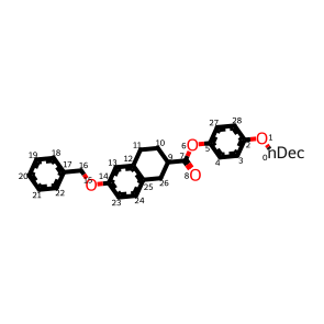 CCCCCCCCCCOc1ccc(OC(=O)C2CCc3cc(OCc4ccccc4)ccc3C2)cc1